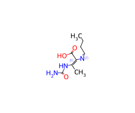 CCC/C=N\C(C(=O)O)=C(/C)NC(N)=O